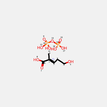 C/C(=C\CCO)C(=O)O.O=P(O)(O)OP(=O)(O)O